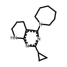 C1CCCN(c2nc(C3CC3)nc3c2CCCN3)CC1